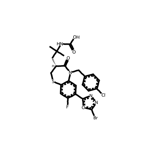 CC(C)(C[C@H]1CSc2cc(F)c(-c3nnc(Br)o3)cc2N(Cc2ccc(Cl)cc2)C1=O)NC(=O)O